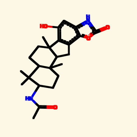 CC(=O)NC1CCC2(C)C3Cc4c(c(O)cc5[nH]c(=O)oc45)C3(C)CCC2C1(C)C